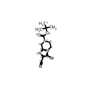 CC(C)(C)OC(=O)N1CCn2c(nc(C#N)c2Br)C1